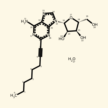 CCCCCCC#Cc1nc(N)c2ncn([C@@H]3O[C@H](CO)[C@@H](O)[C@H]3O)c2n1.O